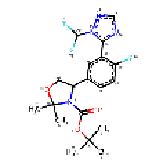 CC(C)(C)OC(=O)N1C(c2ccc(F)c(-c3ncnn3C(F)F)c2)COC1(C)C